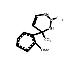 COc1ccccc1C1(C(Cl)(Cl)Cl)C=CNN(C(Cl)(Cl)Cl)N1